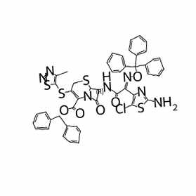 Cc1nnsc1SC1=C(C(=O)OC(c2ccccc2)c2ccccc2)N2C(=O)[C@@H](NC(=O)C(=NOC(c3ccccc3)(c3ccccc3)c3ccccc3)c3nc(N)sc3Cl)C2SC1